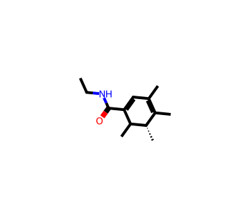 CCNC(=O)C1=CC(C)=C(C)[C@H](C)C1C